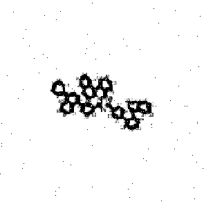 c1ccc(-c2ccc(-c3cccc(-c4nc(-c5ccc(-c6ccccc6-c6cccc7ccccc67)cc5)nc(-c5ccccc5-c5cccc6ccccc56)n4)c3)c3ccccc23)cc1